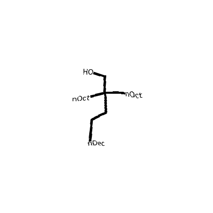 CCCCCCCCCCCCC(CO)(CCCCCCCC)CCCCCCCC